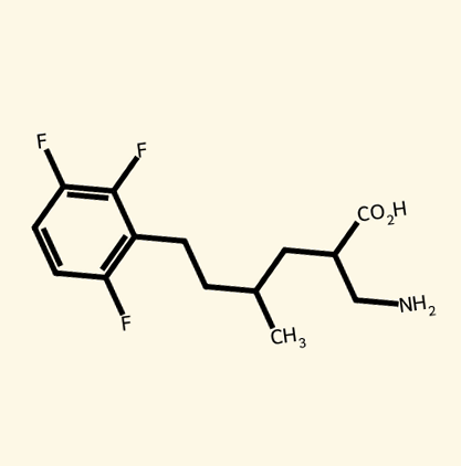 CC(CCc1c(F)ccc(F)c1F)CC(CN)C(=O)O